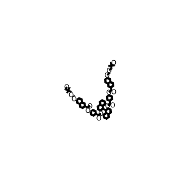 CC1(COCOc2ccc3cc(C(=O)Oc4ccc(C(=O)Oc5ccc6ccccc6c5-c5c(OC(=O)c6ccc(OC(=O)c7ccc8cc(OCOCC9(C)COC9)ccc8c7)cc6)ccc6ccccc56)cc4)ccc3c2)COC1